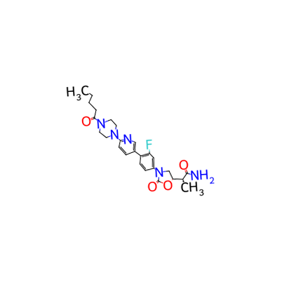 CCCCC(=O)N1CCN(c2ccc(-c3ccc(N4CC([C@H](C)C(N)=O)OC4=O)cc3F)cn2)CC1